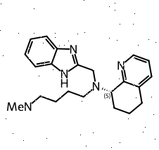 CNCCCCN(Cc1nc2ccccc2[nH]1)[C@H]1CCCc2cccnc21